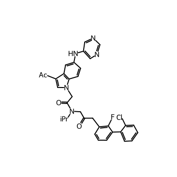 CC(=O)c1cn(CC(=O)N(CC(=O)Cc2cccc(-c3ccccc3Cl)c2F)C(C)C)c2ccc(Nc3cncnc3)cc12